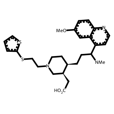 CNC(CC[C@@H]1CCN(CCSc2cccs2)C[C@@H]1CC(=O)O)c1ccnc2ccc(OC)cc12